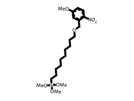 COc1ccc([N+](=O)[O-])c(COCCCCCCCCCC[Si](OC)(OC)OC)c1